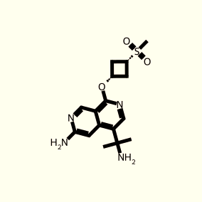 CC(C)(N)c1cnc(O[C@H]2C[C@@H](S(C)(=O)=O)C2)c2cnc(N)cc12